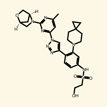 Cc1cc(-n2cc(-c3ccc(NS(=O)(=O)CCO)cc3N3CCC4(CC3)CC4)nn2)nc(N2C[C@@H]3C[C@H]2CO3)n1